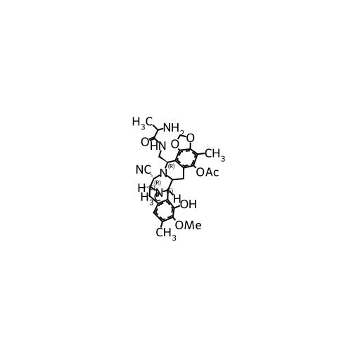 COc1c(C)cc2c(c1O)[C@H]1C3Cc4c(OC(C)=O)c(C)c5c(c4[C@H](CNC(=O)C(C)N)N3[C@@H](C#N)[C@H](C2)N1C)OCO5